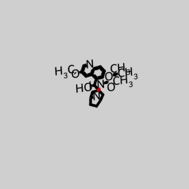 COc1cnc2cccc(C(O)CN3C4CCC3CC(NC(=O)OC(C)(C)C)C4)c2c1